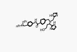 CCCN(CCC)Cc1ccc(NC(=O)c2ccc(CN(Cc3ncc[nH]3)C(CCO)c3ncc[nH]3)cc2)cc1